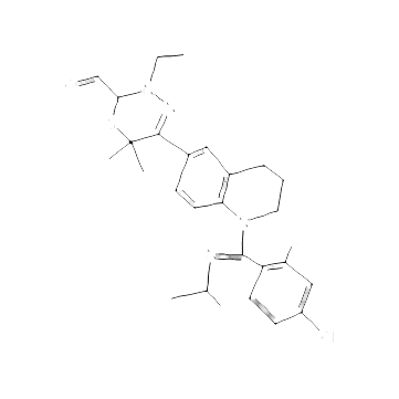 CCN1N=C(c2ccc3c(c2)CCCN3C(=NC(C)C)c2ccc(Cl)cc2Cl)C(C)(C)SC1C=O